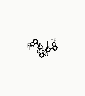 FC1(F)Cc2cccc(-c3cc4c(cn3)B3C5=CNC(c6cccc7c6CC(F)(F)C7)C=C5Oc5cccc(c53)O4)c2C1